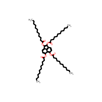 CCCCCCCCCCCC(=O)OC1=C(OC(=O)CCCCCCCCCCC)c2ccc(OC(=O)CCCCCCCCCCC)c3c(OC(=O)CCCCCCCCCCC)ccc1c23